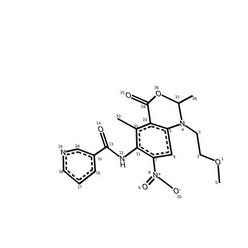 COCCN1c2cc([N+](=O)[O-])c(NC(=O)c3cccnc3)c(C)c2C(=O)OC1C